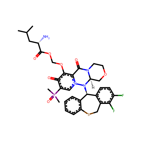 CC(C)C[C@H](N)C(=O)OCOc1c2n(cc(P(C)(C)=O)c1=O)N([C@@H]1c3ccccc3SCc3c1ccc(F)c3F)[C@@H]1COCCN1C2=O